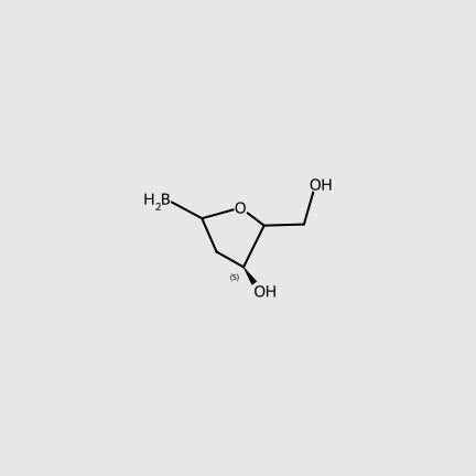 BC1C[C@H](O)C(CO)O1